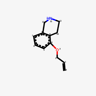 C=CCOc1cccc2c1CCNC2